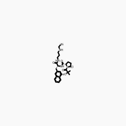 COC(C)(C)C(=O)N1CCC[C@H]1C(=O)N[C@H](Cc1ccc2ccccc2c1)C(=O)NCCCNCC(C)C.Cl